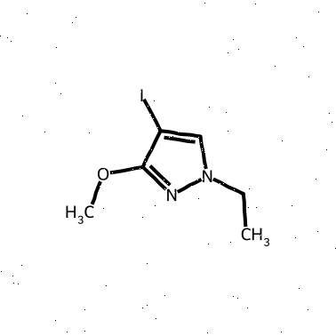 CCn1cc(I)c(OC)n1